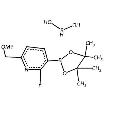 COCc1ccc(B2OC(C)(C)C(C)(C)O2)c(F)n1.OBO